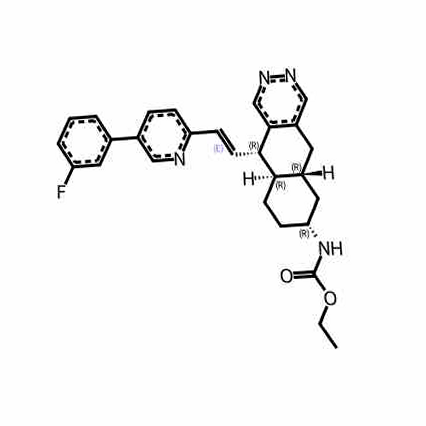 CCOC(=O)N[C@@H]1CC[C@@H]2[C@H](Cc3cnncc3[C@H]2/C=C/c2ccc(-c3cccc(F)c3)cn2)C1